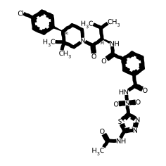 CC(=O)Nc1nnc(S(=O)(=O)NC(=O)c2cccc(C(=O)N[C@@H](C(=O)N3CC[C@H](c4ccc(Cl)cc4)C(C)(C)C3)C(C)C)c2)s1